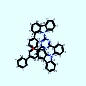 c1ccc(-c2ccc(-c3nc(-c4ccccc4-n4c5ccccc5c5ccccc54)nc(-n4c5ccccc5c5cccc(-c6ccccc6)c54)n3)cc2)cc1